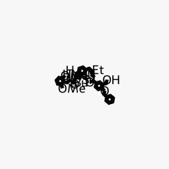 CC[C@H](Cc1ccc2[nH]c(C(=O)NCc3c(OC)cccc3OC)cc2c1)NC[C@H](O[Si](C)(C)C(C)(C)C)c1ccc(OCc2ccccc2)c(CO)c1